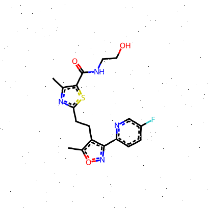 Cc1nc(CCc2c(-c3ccc(F)cn3)noc2C)sc1C(=O)NCCO